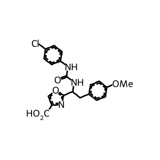 COc1ccc(CC(NC(=O)Nc2ccc(Cl)cc2)c2nc(C(=O)O)co2)cc1